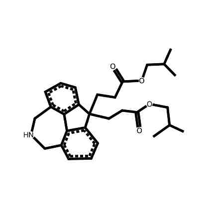 CC(C)COC(=O)CCC1(CCC(=O)OCC(C)C)c2cccc3c2-c2c(cccc21)CNC3